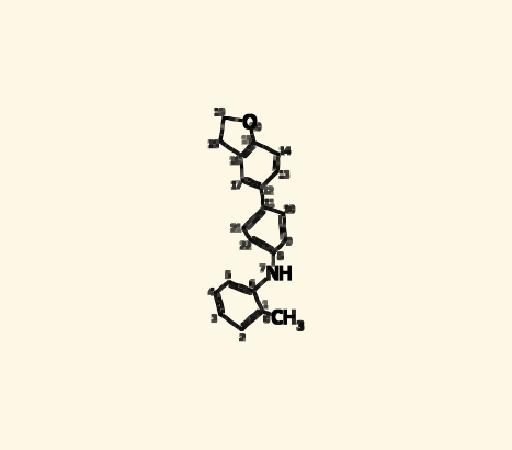 Cc1ccccc1Nc1ccc(-c2ccc3c(c2)CCO3)cc1